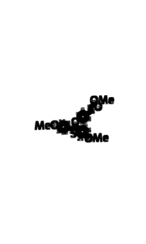 COC(=O)/C=C/c1ccc(Oc2c(-c3ccc(OC)cc3)sc3cc(OC)ccc23)cc1